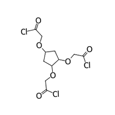 O=C(Cl)COC1CC(OCC(=O)Cl)C(OCC(=O)Cl)C1